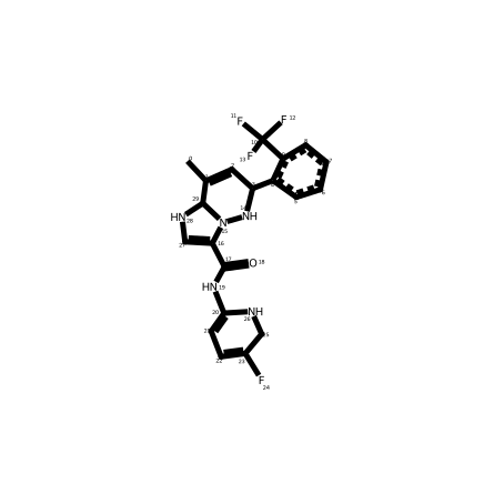 CC1=CC(c2ccccc2C(F)(F)F)NN2C(C(=O)NC3=CC=C(F)CN3)=CNC12